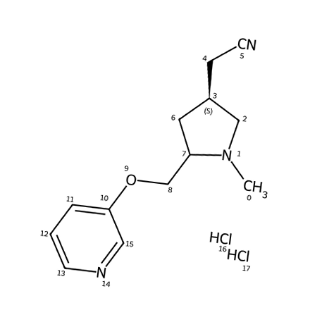 CN1C[C@H](CC#N)CC1COc1cccnc1.Cl.Cl